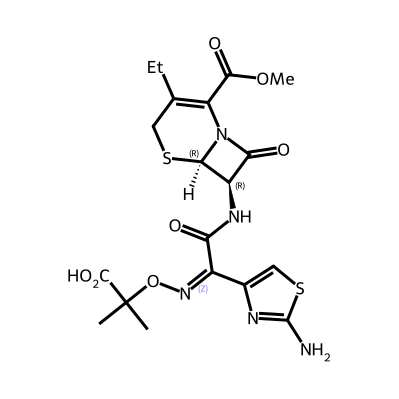 CCC1=C(C(=O)OC)N2C(=O)[C@@H](NC(=O)/C(=N\OC(C)(C)C(=O)O)c3csc(N)n3)[C@H]2SC1